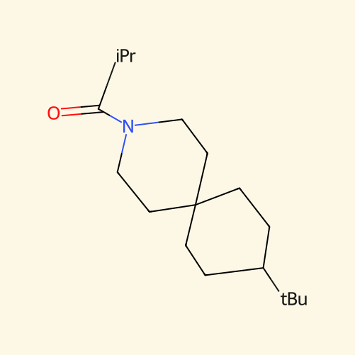 CC(C)C(=O)N1CCC2(CCC(C(C)(C)C)CC2)CC1